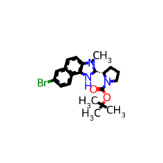 CN1c2ccc3cc(Br)ccc3c2NC1[C@@H]1CCCN1C(=O)OC(C)(C)C